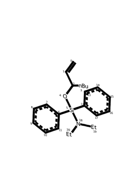 C=CC(CCCC)O[Si](c1ccccc1)(c1ccccc1)N(CC)CC